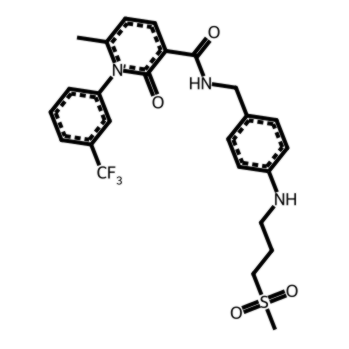 Cc1ccc(C(=O)NCc2ccc(NCCCS(C)(=O)=O)cc2)c(=O)n1-c1cccc(C(F)(F)F)c1